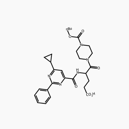 CCCCOC(=O)N1CCN(C(=O)C(CCC(=O)O)NC(=O)c2cc(C3CC3)nc(-c3ccccc3)n2)CC1